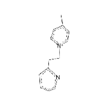 Cc1cc[n+](CCc2ccccn2)cc1